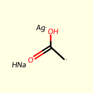 [Ag].[CH2]C(=O)O.[NaH]